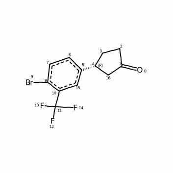 O=C1CC[C@@H](c2ccc(Br)c(C(F)(F)F)c2)C1